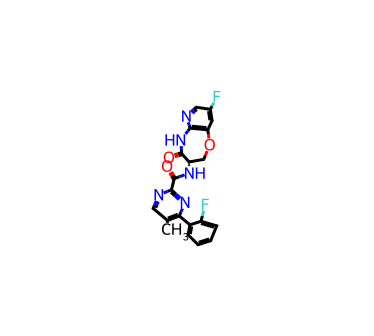 Cc1cnc(C(=O)N[C@H]2COc3cc(F)cnc3NC2=O)nc1-c1ccccc1F